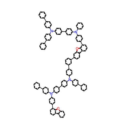 c1ccc(-c2ccc(N(c3ccc(-c4ccccc4)cc3)c3ccc(-c4ccc(N(c5ccccc5)c5ccc(-c6cccc7c6oc6cc(-c8cccc(-c9ccc(N(c%10ccc(-c%11ccccc%11)cc%10)c%10ccc(-c%11ccc(N(c%12ccc(-c%13ccccc%13)cc%12)c%12ccc(-c%13cccc%14c%13oc%13ccccc%13%14)cc%12)cc%11)cc%10)cc9)c8)ccc67)cc5)cc4)cc3)cc2)cc1